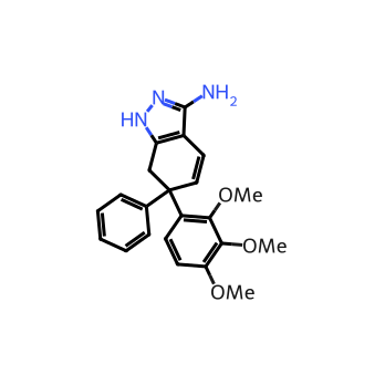 COc1ccc(C2(c3ccccc3)C=Cc3c(N)n[nH]c3C2)c(OC)c1OC